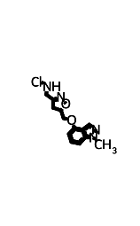 Cn1ncc2c(OCC3CC(CNCl)=NO3)cccc21